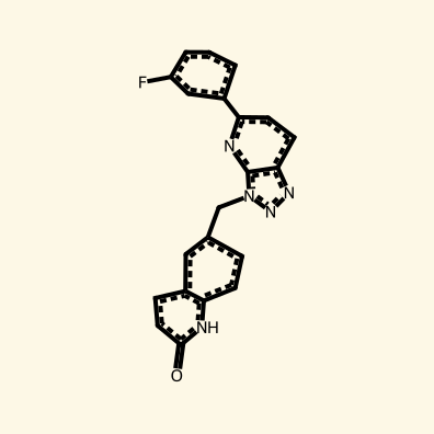 O=c1ccc2cc(Cn3nnc4ccc(-c5cccc(F)c5)nc43)ccc2[nH]1